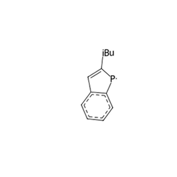 CCC(C)C1=Cc2ccccc2[P]1